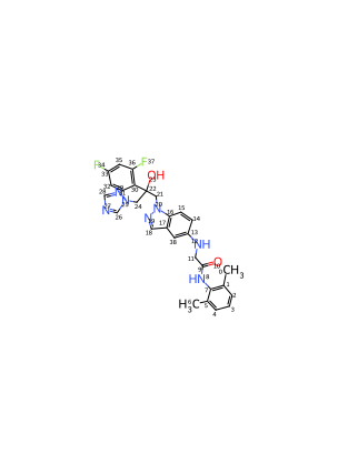 Cc1cccc(C)c1NC(=O)CNc1ccc2c(cnn2CC(O)(Cn2cncn2)c2ccc(F)cc2F)c1